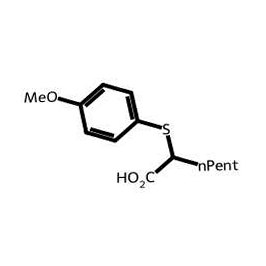 CCCCCC(Sc1ccc(OC)cc1)C(=O)O